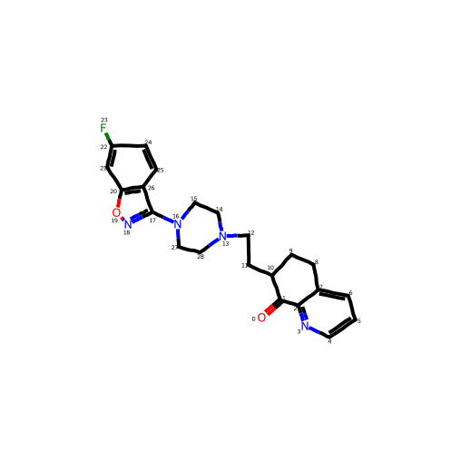 O=C1c2ncccc2CCC1CCN1CCN(c2noc3cc(F)ccc23)CC1